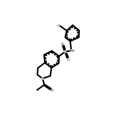 CC(=O)N1CCc2ccc(S(=O)(=O)Nc3cccc(Cl)c3)cc2C1